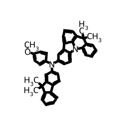 COc1ccc(N(c2ccc3c(c2)C(C)(C)c2ccccc2-3)c2ccc3c(c2)c2cccc4c2n3-c2ccccc2C4(C)C)cc1